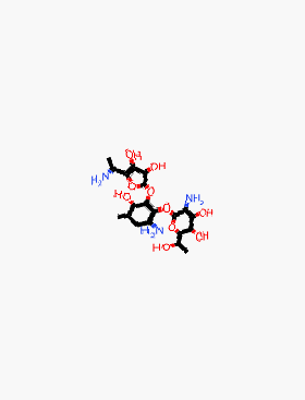 CC(N)C1OC(OC2C(O)C(C)CC(N)C2OC2OC(C(C)O)C(O)C(O)C2N)C(O)C1O